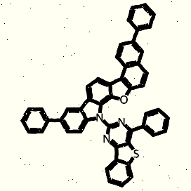 c1ccc(-c2ccc3c(ccc4oc5c(ccc6c7cc(-c8ccccc8)ccc7n(-c7nc(-c8ccccc8)c8sc9ccccc9c8n7)c65)c43)c2)cc1